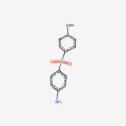 COc1ccc(S(=O)(=O)c2ccc(N)cc2)cc1